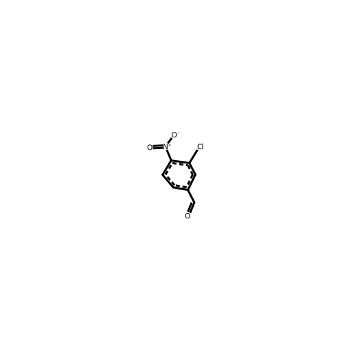 O=Cc1ccc([N+](=O)[O-])c(Cl)c1